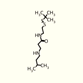 CC(C)CCNCCC(=O)NCCSSC(C)(C)C